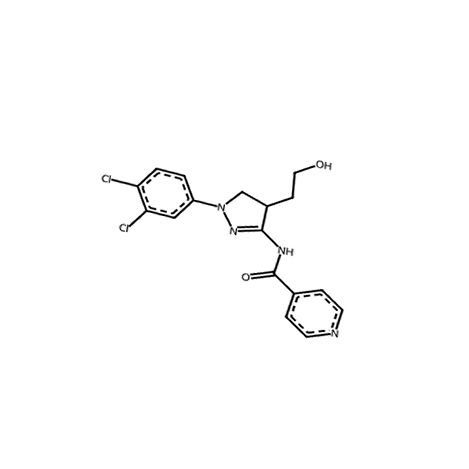 O=C(NC1=NN(c2ccc(Cl)c(Cl)c2)CC1CCO)c1ccncc1